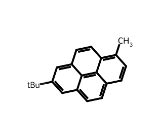 Cc1ccc2ccc3cc(C(C)(C)C)cc4ccc1c2c34